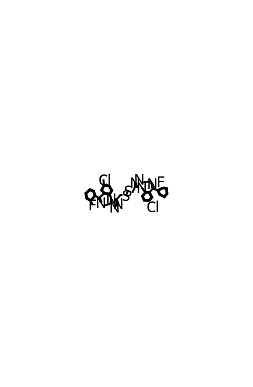 Fc1ccccc1C1=NCc2nnc(CSSCc3nnc4n3-c3ccc(Cl)cc3C(c3ccccc3F)=NC4)n2-c2ccc(Cl)cc21